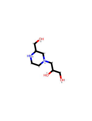 OCC(O)CN1CCNC(CO)C1